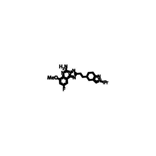 COc1cc(F)cc2c1nc(N)n1nc(CCC3CCc4nn(C(C)C)cc4C3)nc21